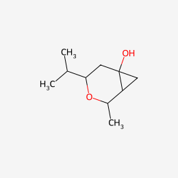 CC(C)C1CC2(O)CC2C(C)O1